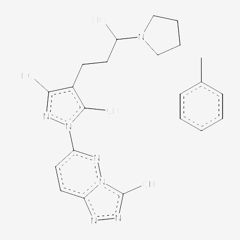 Cc1nn(-c2ccc3nnc(C)n3n2)c(C)c1CCC(O)N1CC[C@H](Cc2ccccc2)C1